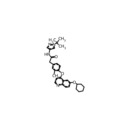 Cc1cc(CC(=O)Nc2cnn(C(C)(C)C)c2)ccc1Oc1ccnc2ccc(OC3CCCCC3)cc12